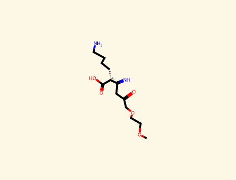 COCCOCC(=O)CC(=N)[C@@H](CCCCN)C(=O)O